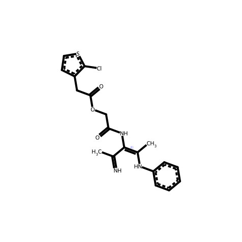 CC(=N)/C(NC(=O)COC(=O)Cc1ccsc1Cl)=C(/C)Nc1ccccc1